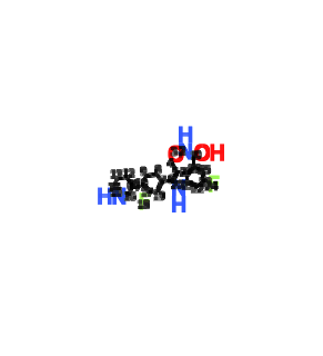 OC1NOCc2c(-c3ccc([C@H]4CCCNC4)c(F)c3)[nH]c3cc(F)cc1c23